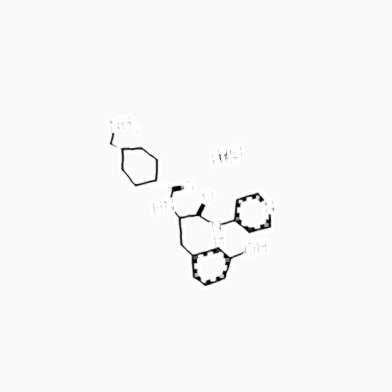 Cl.Cl.NC[C@H]1CC[C@H](C(=O)NC(Cc2cccc(O)c2)C(=O)Nc2ccncc2)CC1